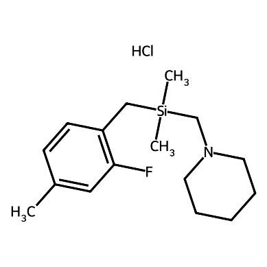 Cc1ccc(C[Si](C)(C)CN2CCCCC2)c(F)c1.Cl